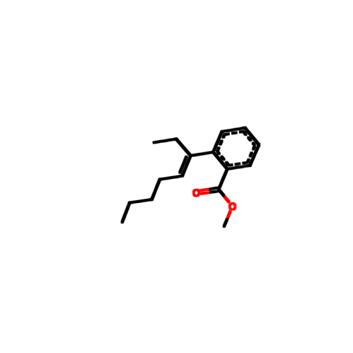 CCCCC=C(CC)c1ccccc1C(=O)OC